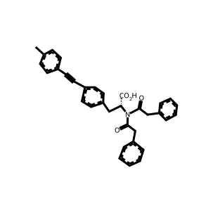 Cc1ccc(C#Cc2ccc(C[C@H](C(=O)O)N(C(=O)Cc3ccccc3)C(=O)Cc3ccccc3)cc2)cc1